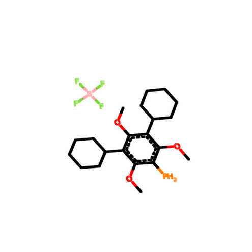 COc1c(P)c(OC)c(C2CCCCC2)c(OC)c1C1CCCCC1.F[B-](F)(F)F